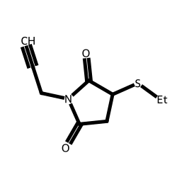 C#CCN1C(=O)CC(SCC)C1=O